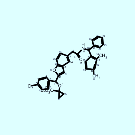 CCOC(=O)C1(OC(c2ccc(Cl)cc2)c2cc3cc(CC(=O)NC(c4ccccc4)c4ccc(C)cc4C)ccc3o2)CC1